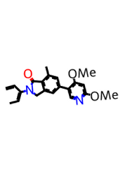 C=C/C(=C\C)N1Cc2cc(-c3cnc(OC)cc3OC)cc(C)c2C1=O